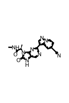 CNC(=O)[C@@H](C)n1c(=O)[nH]c2cnc(-c3cnn4ccc(C#N)cc34)nc21